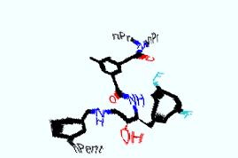 CCCCCc1cccc(CNC[C@@H](O)[C@H](Cc2cc(F)cc(F)c2)NC(=O)c2cc(C)cc(C(=O)N(CCC)CCC)c2)c1